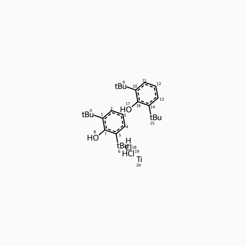 CC(C)(C)c1cccc(C(C)(C)C)c1O.CC(C)(C)c1cccc(C(C)(C)C)c1O.Cl.Cl.[Ti]